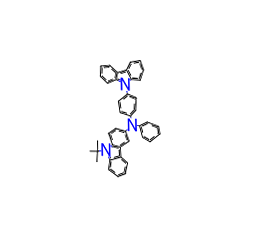 CC(C)(C)n1c2ccccc2c2cc(N(c3ccccc3)c3ccc(-n4c5ccccc5c5ccccc54)cc3)ccc21